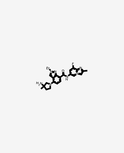 CCn1cc2c(N3CCC(C)(N)C3)ccc(C(=O)Nc3cc(F)c4nc(C)cn4c3)c2n1